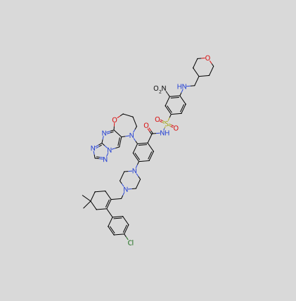 CC1(C)CCC(CN2CCN(c3ccc(C(=O)NS(=O)(=O)c4ccc(NCC5CCOCC5)c([N+](=O)[O-])c4)c(N4CCCOc5nc6ncnn6cc54)c3)CC2)=C(c2ccc(Cl)cc2)C1